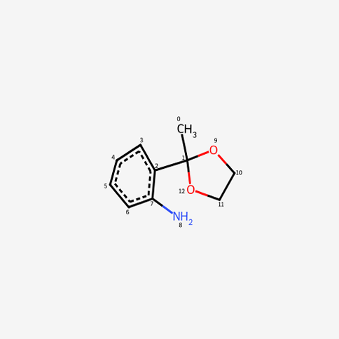 CC1(c2ccccc2N)OCCO1